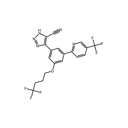 N#Cc1[nH]nnc1-c1cc(OCCCC(F)(F)F)cc(-c2ccc(C(F)(F)F)cn2)c1